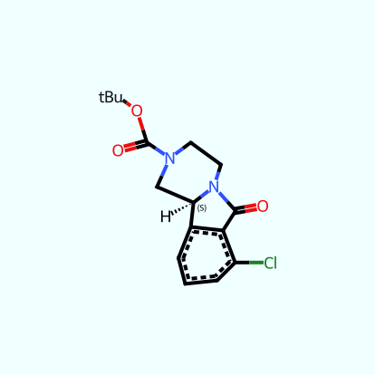 CC(C)(C)OC(=O)N1CCN2C(=O)c3c(Cl)cccc3[C@H]2C1